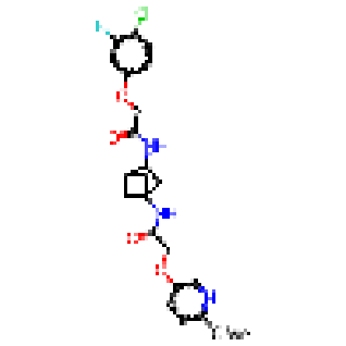 COc1ccc(OCC(=O)NC23CC(C2)C(NC(=O)COc2ccc(Cl)c(F)c2)C3)cn1